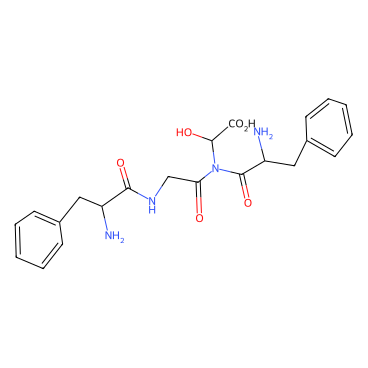 NC(Cc1ccccc1)C(=O)NCC(=O)N(C(=O)C(N)Cc1ccccc1)C(O)C(=O)O